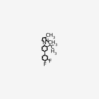 Cc1ccn(-c2ccc(-c3ccc(F)c(F)c3)cc2C(C)C)n1